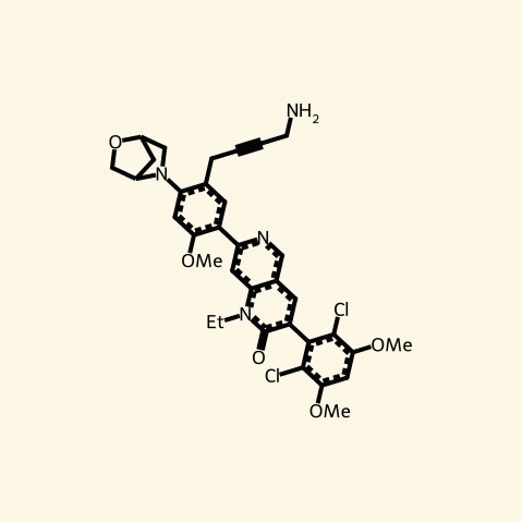 CCn1c(=O)c(-c2c(Cl)c(OC)cc(OC)c2Cl)cc2cnc(-c3cc(CC#CCN)c(N4CC5CC4CO5)cc3OC)cc21